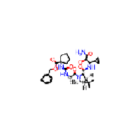 CC(C)(C)[C@H](NC(=O)NC1(C(=O)OCc2ccccc2)CCCCC1)C(=O)N1C[C@H]2[C@@H]([C@H]1C(=O)NC(C(=O)C(N)=O)C1CC1)C2(C)C